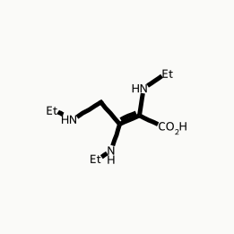 CCNC/C(NCC)=C(\NCC)C(=O)O